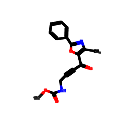 Cc1nc(-c2ccccc2)oc1C(=O)C#CCNC(=O)OC(C)(C)C